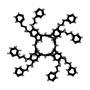 c1ccc(CCOc2cc3c(cc2OCCc2ccccc2)-c2nc-3nc3[nH]c(nc4nc(nc5[nH]c(n2)c2cc(OCCc6ccccc6)c(OCCc6ccccc6)cc52)-c2cc(OCCc5ccccc5)c(OCCc5ccccc5)cc2-4)c2cc(OCCc4ccccc4)c(OCCc4ccccc4)cc32)cc1